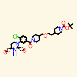 CC(C)(C)OC(=O)N1CCC(CCOCC2CCN(C(=O)c3ccc(Cl)c(N4CCC(=C=O)NC4=C=O)c3)CC2)CC1